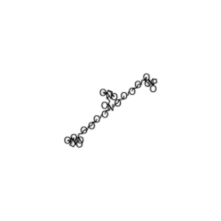 O=C(CCOCCOCCOCCOCCN(CCOCCOCCOCCOCCC(=O)ON1C(=O)CCC1=O)C(=O)CCN1C(=O)C=CC1=O)ON1CCCC1=O